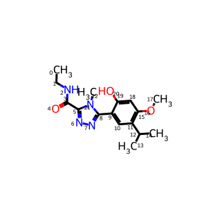 CCNC(=O)c1nnc(-c2cc(C(C)C)c(OC)cc2O)n1C